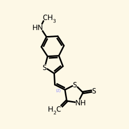 C=c1[nH]c(=S)s/c1=C\c1cc2ccc(NC)cc2s1